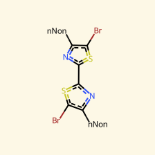 CCCCCCCCCc1nc(-c2nc(CCCCCCCCC)c(Br)s2)sc1Br